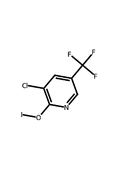 FC(F)(F)c1cnc(OI)c(Cl)c1